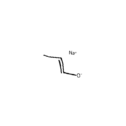 C/C=C/[O-].[Na+]